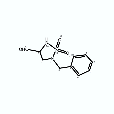 O=CC1CN(Cc2ccccc2)S(=O)(=O)N1